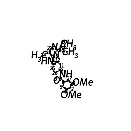 COc1cc(OC)cc(C(=O)NC2CCC(Nc3nc(N(C)C)ncc3C)CC2)c1